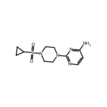 Nc1ccnc(N2CCN(S(=O)(=O)C3CC3)CC2)n1